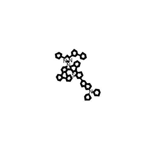 c1ccc(-c2cccc(-c3cc(-c4ccccc4)nc(-n4c5ccc6c7ccccc7c7ccccc7c6c5c5c6sc7cc(-c8ccc9cc(N(c%10ccccc%10)c%10ccccc%10)ccc9c8)ccc7c6c6ccccc6c54)n3)c2)cc1